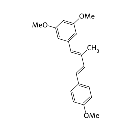 COc1ccc(C=CC(C)=Cc2cc(OC)cc(OC)c2)cc1